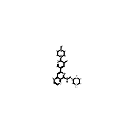 CC1C=C(c2cc3nccnc3c(NC[C@@H]3CNCCO3)n2)C=NC1N1CCN(C)CC1